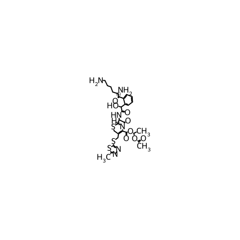 CC(=O)OC(C)OC(=O)C1=C(CSc2nnc(C)s2)CS[C@H]2C(NC(=O)C(O)c3ccccc3C(=O)[C@@H](N)CCCCN)C(=O)N12